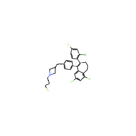 FCCCN1CC(Cc2ccc(C3=C(c4ccc(F)cc4Cl)CCCc4c(F)cc(F)cc43)cc2)C1